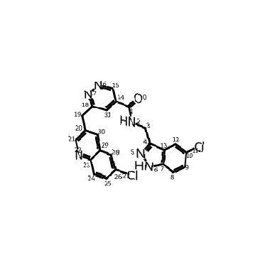 O=C(NCc1n[nH]c2ccc(Cl)cc12)c1cnnc(Cc2cnc3ccc(Cl)cc3c2)c1